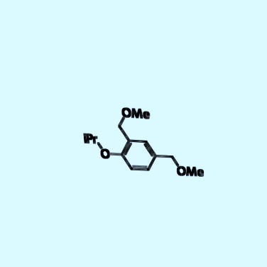 COCc1ccc(OC(C)C)c(COC)c1